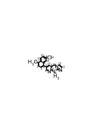 Cc1ccc(-c2cnnc(Cn3ccnc3C)c2)c2ccccc12.Cl